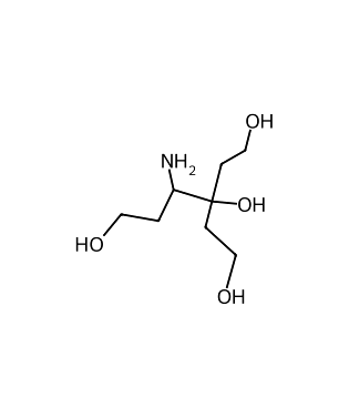 NC(CCO)C(O)(CCO)CCO